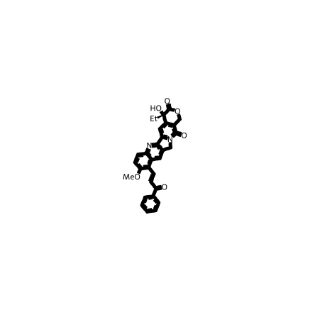 CC[C@@]1(O)C(=O)OCc2c1cc1n(c2=O)Cc2cc3c(C=CC(=O)c4ccccc4)c(OC)ccc3nc2-1